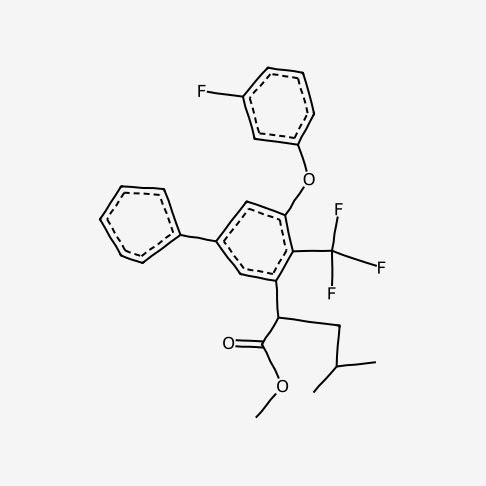 COC(=O)C(CC(C)C)c1cc(-c2ccccc2)cc(Oc2cccc(F)c2)c1C(F)(F)F